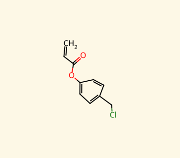 C=CC(=O)Oc1ccc(CCl)cc1